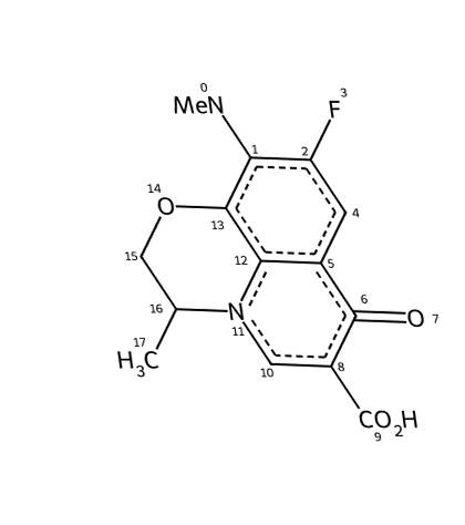 CNc1c(F)cc2c(=O)c(C(=O)O)cn3c2c1OCC3C